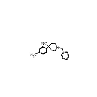 Cc1ccc(C2(C#N)CCN(Cc3ccccc3)CC2)cc1